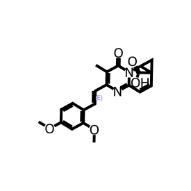 COc1ccc(/C=C/c2nc3n(c(=O)c2C)C2CC2(C(=O)O)C=C3)c(OC)c1